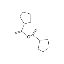 C=C(OC(=C)C1CCCC1)C1CCCC1